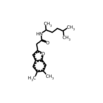 Cc1cc2cc(CC(=O)NC(C)CCC(C)C)oc2cc1C